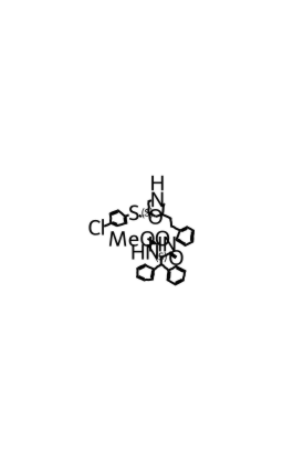 COC(=O)N[C@H](C(=O)Nc1ccccc1CCC1CNC[C@@H](CSc2ccc(Cl)cc2)O1)C(c1ccccc1)c1ccccc1